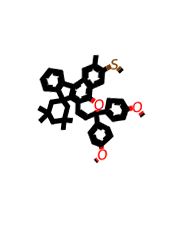 COc1ccc(C2(c3ccc(OC)cc3)C=Cc3c4c(c5cc(C)c(SC)cc5c3O2)-c2ccccc2C42CC(C)(C)CC(C)(C)C2)cc1